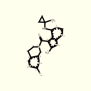 Cc1oc2ncnc(NC3(C)CC3)c2c1C(=O)N1CCc2cnc(F)nc2C1